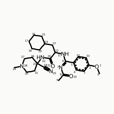 COc1ccc(/C(=N\C(C)=O)NC(CC2CCCCC2)C(=O)NC2(C#N)CCN(C)CC2)cc1